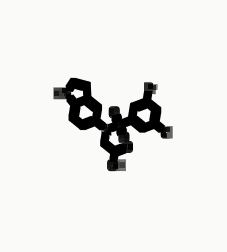 O=C(O)CN(c1ccc2[nH]ccc2c1)S(=O)(=O)c1cc(Cl)cc(Br)c1